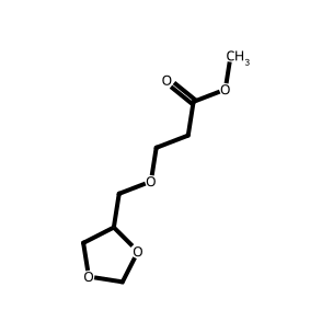 COC(=O)CCOCC1COCO1